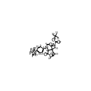 COC(=O)[C@@H](N(C=O)c1ccc(S(F)(F)(F)(F)F)cc1)C1(C2CC2)CN(C(=O)OC(C)(C)C)C1